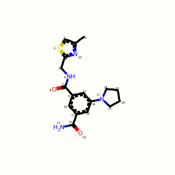 Cc1csc(CNC(=O)c2cc(C(N)=O)cc(N3CCCC3)c2)n1